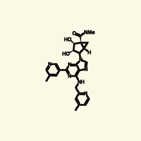 CNC(=O)[C@]12C[C@@H]1C(n1cnc3c(NCc4cc(C)ccn4)nc(-c4cncc(C)c4)nc31)[C@H](O)[C@@H]2O